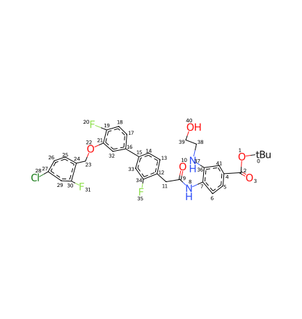 CC(C)(C)OC(=O)c1ccc(NC(=O)Cc2ccc(-c3ccc(F)c(OCc4ccc(Cl)cc4F)c3)cc2F)c(NCCO)c1